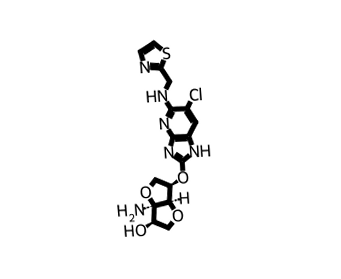 N[C@]12OC[C@@H](Oc3nc4nc(NCc5nccs5)c(Cl)cc4[nH]3)[C@H]1OC[C@H]2O